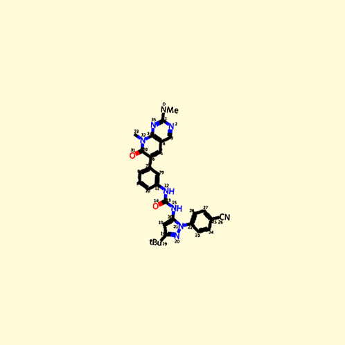 CNc1ncc2cc(-c3cccc(NC(=O)Nc4cc(C(C)(C)C)nn4-c4ccc(C#N)cc4)c3)c(=O)n(C)c2n1